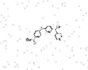 CC(C)(C)C(=O)c1ccc(Oc2ccc(C(O)c3ccncc3)cc2)cc1